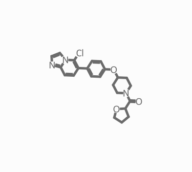 O=C(C1CCCO1)N1CCC(Oc2ccc(-c3ccc4nccn4c3Cl)cc2)CC1